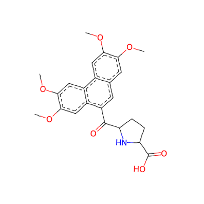 COc1cc2cc(C(=O)C3CCC(C(=O)O)N3)c3cc(OC)c(OC)cc3c2cc1OC